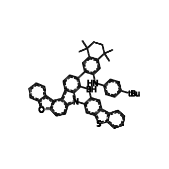 CC(C)(C)c1ccc(Nc2cc3c(cc2-c2ccc4c5c6c(ccc5n5c4c2Bc2cc4c(cc2-5)sc2ccccc24)oc2ccccc26)C(C)(C)CCC3(C)C)cc1